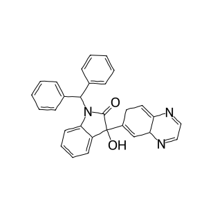 O=C1N(C(c2ccccc2)c2ccccc2)c2ccccc2C1(O)C1=CC2N=CC=NC2=CC1